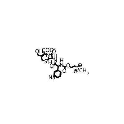 CS(=O)(=O)CCOC(=O)NC(C(=O)N[C@@H]1C(=O)N2C(C(=O)[O-])=C(CO)CS[C@@H]12)c1ccccc1.[Na+]